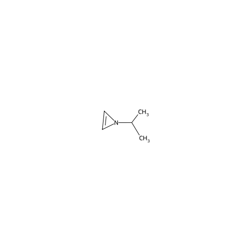 CC(C)N1C=C1